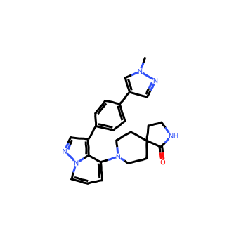 Cn1cc(-c2ccc(-c3cnn4cccc(N5CCC6(CCNC6=O)CC5)c34)cc2)cn1